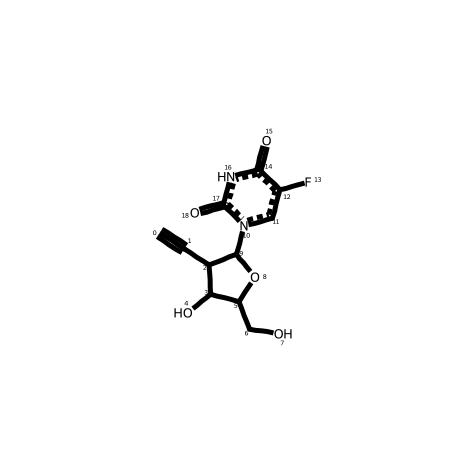 C#CC1C(O)C(CO)OC1n1cc(F)c(=O)[nH]c1=O